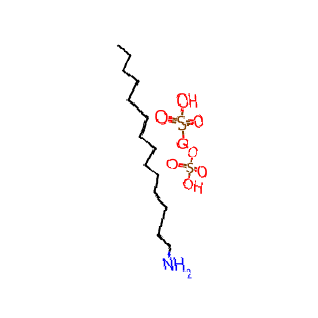 CCCCCCCCCCCCCCN.O=S(=O)(O)OOS(=O)(=O)O